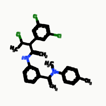 C=C(Nc1cccc(C(=C)N(C)c2ccc(C)cc2)c1)C(c1cc(Cl)cc(Cl)c1)C(C)Cl